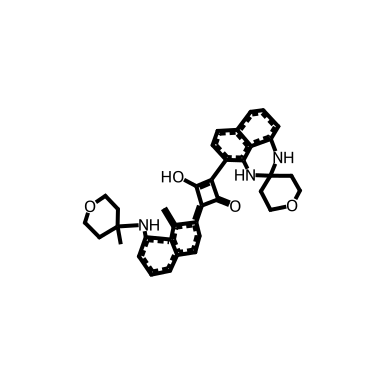 C=c1/c(=C2/C(=O)C(c3ccc4cccc5c4c3NC3(CCOCC3)N5)=C2O)ccc2cccc(NC3(C)CCOCC3)c12